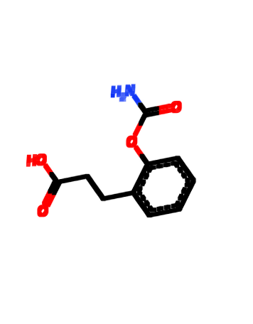 NC(=O)Oc1ccccc1CCC(=O)O